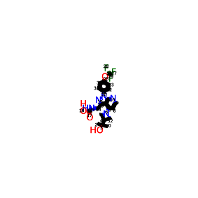 CC(C)(O)C1CN(c2ccnc3c2c(CNC(=O)O)nn3-c2ccc(OC(F)(F)F)cc2)C1